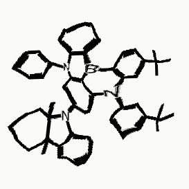 CC(C)(C)c1cccc(N2c3cc(C(C)(C)C)ccc3B3c4ccccc4N(c4ccccc4)c4cc(N5c6ccccc6C6(C)CCCCCC56C)cc2c43)c1